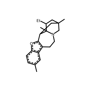 CCC1CC2(C)CC3c4oc5ccc(C)cc5c4CCN(C2)C13C